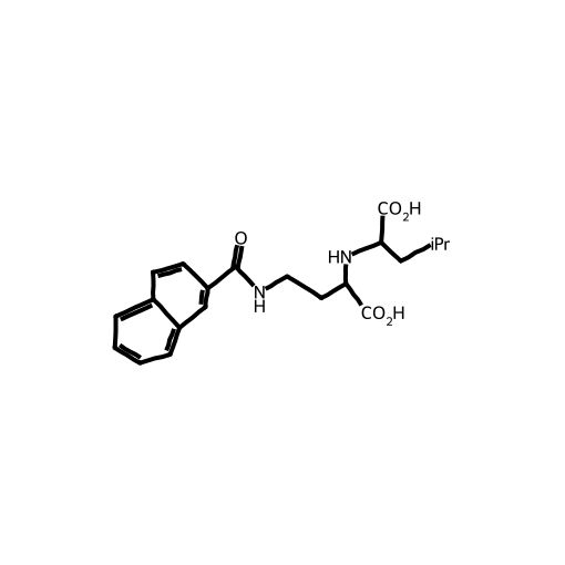 CC(C)CC(NC(CCNC(=O)c1ccc2ccccc2c1)C(=O)O)C(=O)O